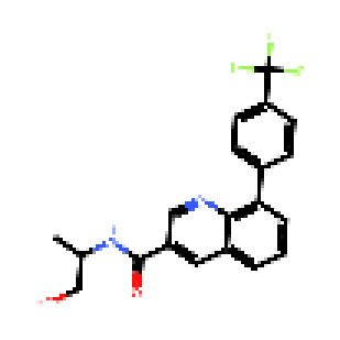 CC(CO)NC(=O)c1cnc2c(-c3ccc(C(F)(F)F)cc3)cccc2c1